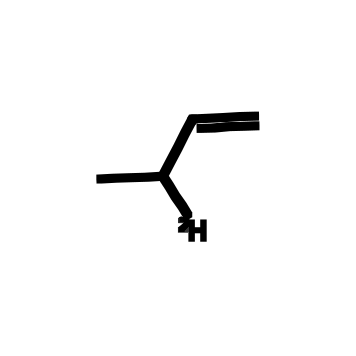 [2H]C(C)C=C